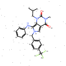 CC(C)Cn1c(=O)n(C)c(=O)c2cn(Cc3ccc(C(F)(F)F)cc3)c(Nc3ccccc3)c21